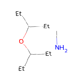 CCC(CC)OC(CC)CC.CN